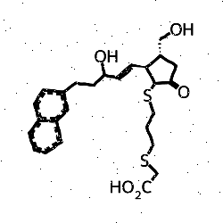 O=C(O)CSCCCSC1C(=O)C[C@@H](CO)[C@@H]1C=CC(O)CCc1ccc2ccccc2c1